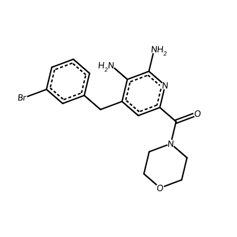 Nc1nc(C(=O)N2CCOCC2)cc(Cc2cccc(Br)c2)c1N